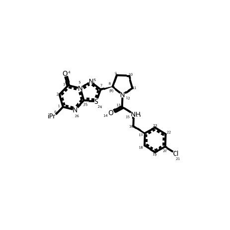 CC(C)c1cc(=O)n2nc([C@H]3CCCN3C(=O)NCc3ccc(Cl)cc3)sc2n1